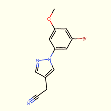 COc1cc(Br)cc(-n2cc(CC#N)cn2)c1